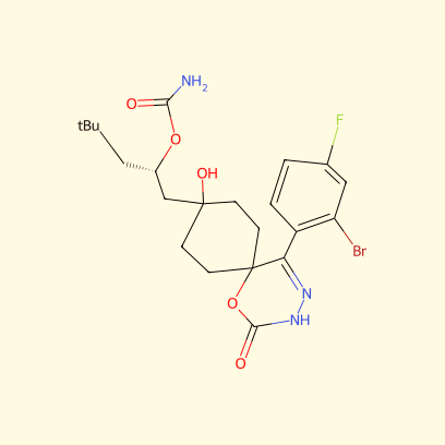 CC(C)(C)C[C@@H](CC1(O)CCC2(CC1)OC(=O)NN=C2c1ccc(F)cc1Br)OC(N)=O